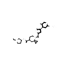 COc1cc(-c2cc(C(=O)N3CCC(C(=O)N[C@H]4CCN(CC(F)(F)F)C4)CC34CC4)n[nH]2)c(F)cn1